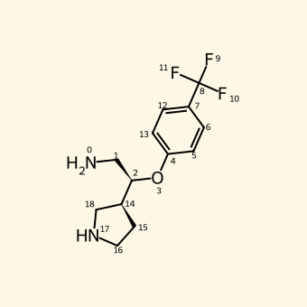 NC[C@@H](Oc1ccc(C(F)(F)F)cc1)[C@H]1CCNC1